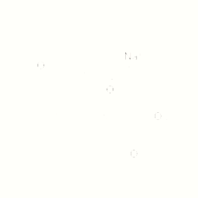 O=C([O-])C(=O)/C=C\c1ccco1.[Na+]